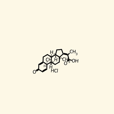 CC(C(=O)O)=C1CC[C@H]2[C@@H]3CCC4=CC(=O)C=C[C@]4(C)[C@H]3CC[C@]12C.Cl